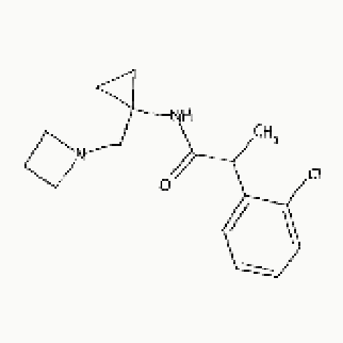 CC(C(=O)NC1(CN2CCC2)CC1)c1ccccc1Cl